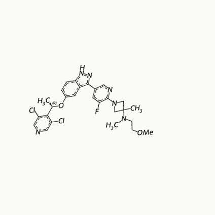 COCCN(C)C1(C)CN(c2ncc(-c3n[nH]c4ccc(O[C@H](C)c5c(Cl)cncc5Cl)cc34)cc2F)C1